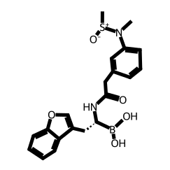 CN(c1cccc(CC(=O)N[C@@H](Cc2coc3ccccc23)B(O)O)c1)[S+](C)[O-]